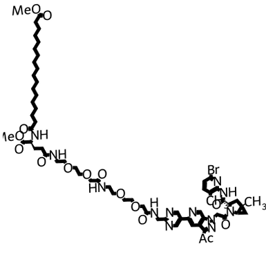 COC(=O)CCCCCCCCCCCCCCCCC(=O)N[C@@H](CCC(=O)NCCOCCOCC(=O)NCCOCCOCC(=O)NCc1ncc(-c2cc3c(C(C)=O)nn(CC(=O)N4C5C[C@]5(C)C[C@H]4C(=O)Nc4nc(Br)ccc4C)c3cn2)cn1)C(=O)OC